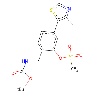 Cc1ncsc1-c1ccc(CNC(=O)OC(C)(C)C)c(OS(=O)(=O)C(F)(F)F)c1